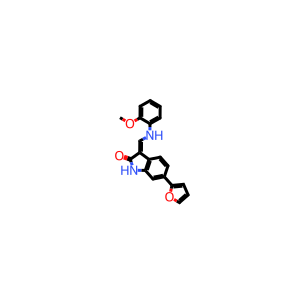 COc1ccccc1N/C=C1/C(=O)Nc2cc(-c3ccco3)ccc21